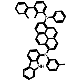 CC1=C(c2cccc(N(c3ccccc3)c3ccc4c5c3CC=C3C=CC(N(c6cccc(C)c6)c6cccc7c6[nH]c6ccccc67)=C(C=C4)C35)c2C)C=CCC1